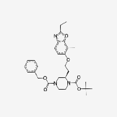 CCc1nc2ccc(OCC[C@@H]3CN(C(=O)OCc4ccccc4)CCN3C(=O)OC(C)(C)C)c(C)c2o1